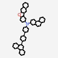 c1ccc2cc3c(cc2c1)oc1ccc(N(c2ccc(-c4ccc(-c5cc6ccccc6c6ccccc56)cc4)cc2)c2ccc4c(ccc5ccccc54)c2)cc13